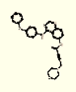 O=C(C#CCN1CCOCC1)Nc1ccc2ncnc(Nc3ccc(Oc4ccccc4)cc3)c2c1